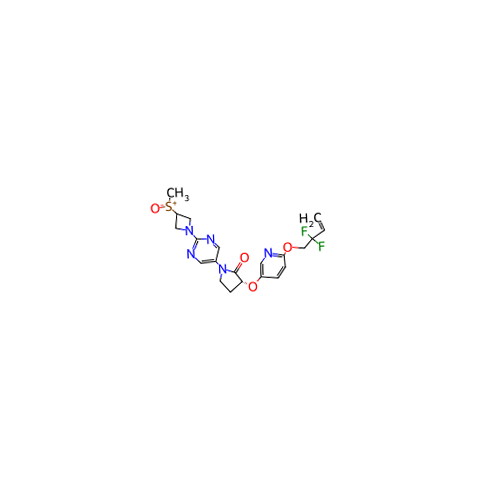 C=CC(F)(F)COc1ccc(O[C@@H]2CCN(c3cnc(N4CC([S+](C)[O-])C4)nc3)C2=O)cn1